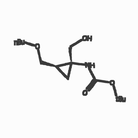 CCCCOC[C@@H]1C[C@]1(CO)NC(=O)OC(C)(C)C